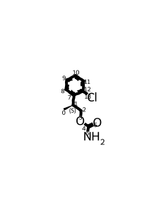 C[C@H](COC(N)=O)c1ccccc1Cl